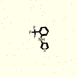 FC(F)(F)c1ccccc1Nc1ccsc1